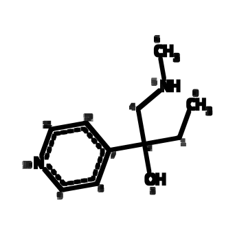 CCC(O)(CNC)c1ccncc1